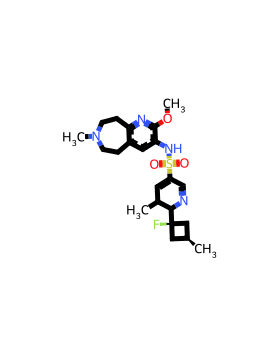 COc1nc2c(cc1NS(=O)(=O)C1=CC(C)C([C@]3(F)C[C@@H](C)C3)N=C1)CCN(C)CC2